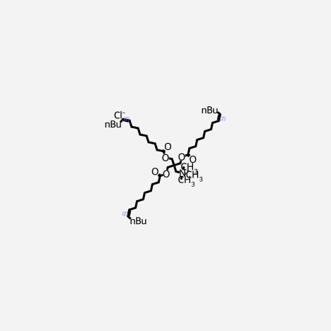 CCCC/C=C\CCCCCCCC(=O)OCC(COC(=O)CCCCCCC/C=C\CCCC)(COC(=O)CCCCCCC/C=C\CCCC)C[N+](C)(C)C.[Cl-]